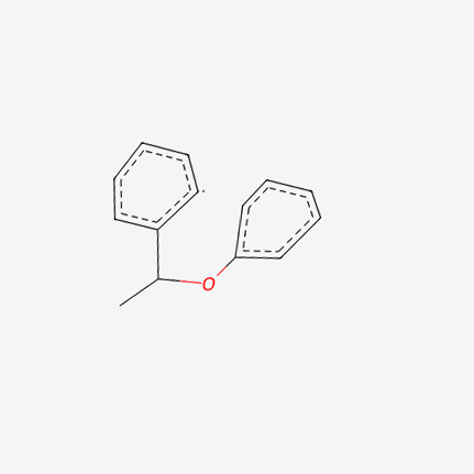 CC(Oc1ccccc1)c1[c]cccc1